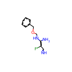 N=C/C(F)=C(\N)NCOCc1ccccc1